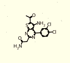 CC(=O)c1sc2nc(CC(N)=O)nc(-c3ccc(Cl)c(Cl)c3)c2c1N